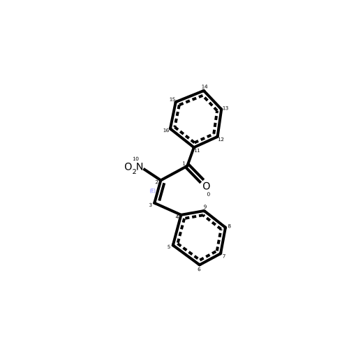 O=C(/C(=C\c1ccccc1)[N+](=O)[O-])c1ccccc1